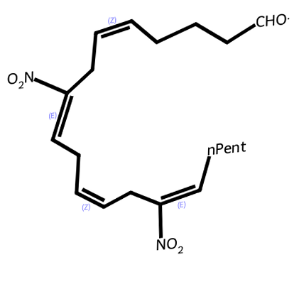 CCCCC/C=C(\C/C=C\C/C=C(\C/C=C\CCC[C]=O)[N+](=O)[O-])[N+](=O)[O-]